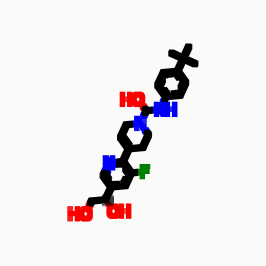 CC(C)(C)c1ccc(NC(O)N2CC=C(c3ncc([C@H](O)CO)cc3F)CC2)cc1